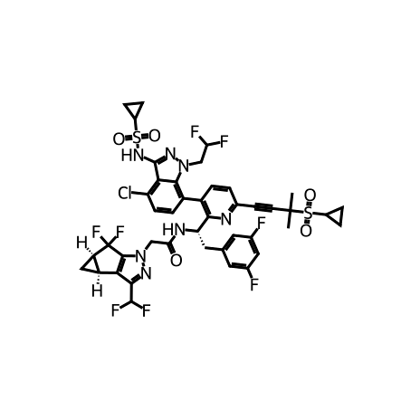 CC(C)(C#Cc1ccc(-c2ccc(Cl)c3c(NS(=O)(=O)C4CC4)nn(CC(F)F)c23)c([C@H](Cc2cc(F)cc(F)c2)NC(=O)Cn2nc(C(F)F)c3c2C(F)(F)[C@@H]2C[C@H]32)n1)S(=O)(=O)C1CC1